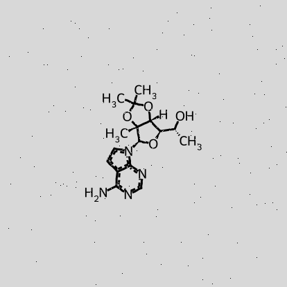 C[C@@H](O)[C@H]1O[C@@H](n2ccc3c(N)ncnc32)[C@]2(C)OC(C)(C)O[C@H]12